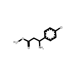 COC(=O)CC(N)c1ccc(Cl)cc1